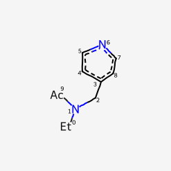 CCN(Cc1ccncc1)C(C)=O